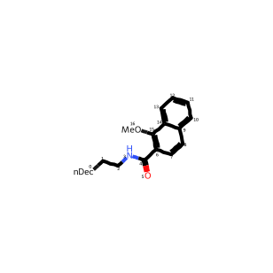 CCCCCCCCCCCCNC(=O)c1ccc2ccccc2c1OC